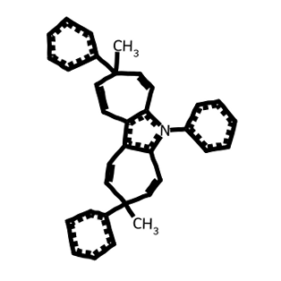 CC1(c2ccccc2)C=Cc2c3c(n(-c4ccccc4)c2C=C1)C=CC(C)(c1ccccc1)C=C3